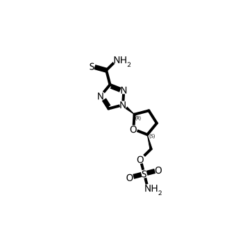 NC(=S)c1ncn([C@H]2CC[C@@H](COS(N)(=O)=O)O2)n1